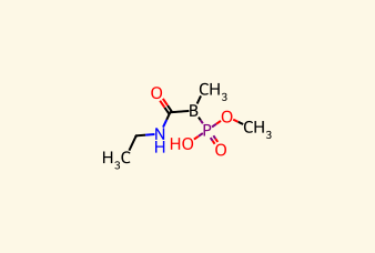 CCNC(=O)B(C)P(=O)(O)OC